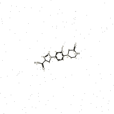 NC(=O)C1CN(c2ccc(N3CCNC(=O)C3)c(F)c2)N=N1